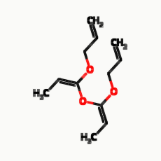 C=CCO/C(=C/C)O/C(=C\C)OCC=C